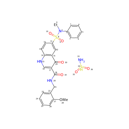 CCN(c1ccccc1)S(=O)(=O)c1ccc2[nH]cc(C(=O)NCc3ccccc3OC)c(=O)c2c1.N[SH](=O)=O